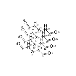 O=C[NH][Zr][NH]C=O.O=C[NH][Zr][NH]C=O.O=C[NH][Zr][NH]C=O.O=C[NH][Zr][NH]C=O